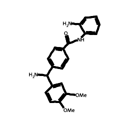 COc1ccc(C(N)c2ccc(C(=O)Nc3ccccc3N)cc2)cc1OC